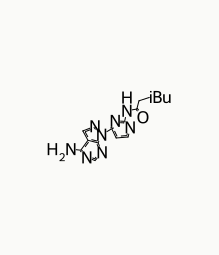 CCC(C)CC(=O)Nc1nccc(-n2ncc3c(N)ncnc32)n1